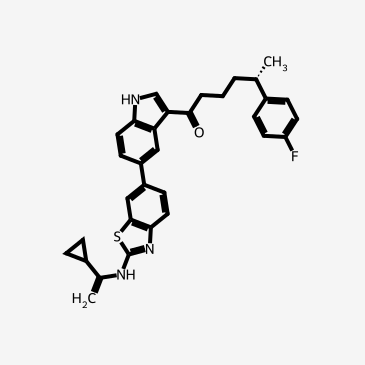 C=C(Nc1nc2ccc(-c3ccc4[nH]cc(C(=O)CCC[C@H](C)c5ccc(F)cc5)c4c3)cc2s1)C1CC1